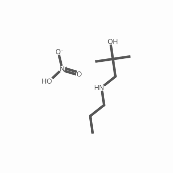 CCCNCC(C)(C)O.O=[N+]([O-])O